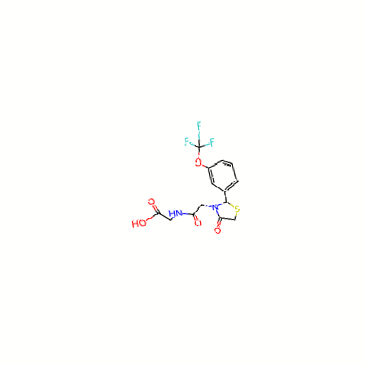 O=C(O)CNC(=O)CN1C(=O)CSC1c1cccc(OC(F)(F)F)c1